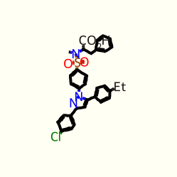 CCc1ccc(-c2cc(-c3ccc(Cl)cc3)nn2-c2ccc(S(=O)(=O)N(C)C(Cc3ccccc3)C(=O)O)cc2)cc1